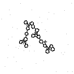 CC1(C)c2cc(-c3ccc4c(c3)c3ccccc3n4-c3cccc(-c4ccc5c(N(c6ccccc6)c6ccc(-c7ccc(-c8ccc9c(c8)c8ccccc8n9-c8ccccc8)cc7)cc6)cccc5c4)c3)ccc2-c2ccc(N(c3ccccc3)c3cccc4ccccc34)cc21